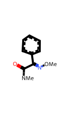 CNC(=O)/C(=N/OC)c1ccccc1